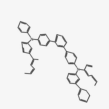 C=C/C(=C\C=C/C)N(c1ccc(-c2cccc(-c3ccc(N(c4ccccc4)c4cccc(/C(C)=C/C=C\C)c4)cc3)c2)cc1)c1cccc(C2=CC=CCC2)c1